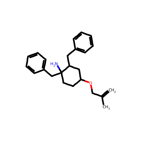 C=C(C)COC1CCC(N)(Cc2ccccc2)C(Cc2ccccc2)C1